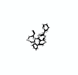 CCC1COCCN1c1nc(-c2ccccn2)nc2scc(-c3ccccc3)c12